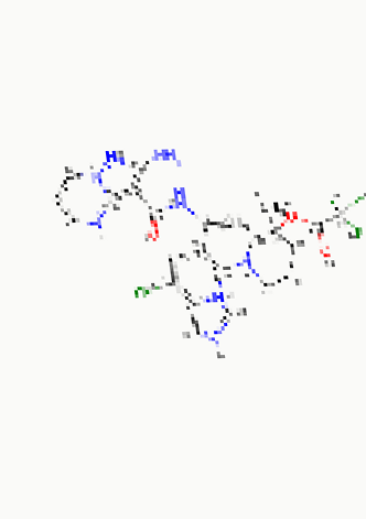 CC(NC(=O)c1c(N)nn2cccnc12)c1cc(Cl)c2cncn2c1N1CCCC(C)(OC(=O)C(F)(F)F)C1